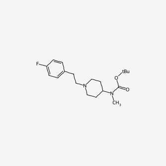 CN(C(=O)OC(C)(C)C)C1CCN(CCc2ccc(F)cc2)CC1